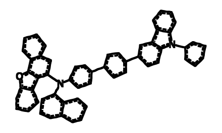 c1ccc(-n2c3ccccc3c3cc(-c4ccc(-c5ccc(N(c6cccc7ccccc67)c6cc7ccccc7c7oc8ccccc8c67)cc5)cc4)ccc32)cc1